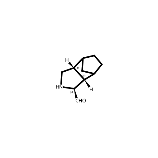 O=C[C@H]1NC[C@@H]2C3CCC(C3)[C@@H]21